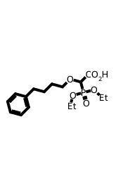 CCOP(=O)(OCC)C(OCCCCc1ccccc1)C(=O)O